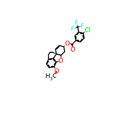 COc1ccc2c3c1OC1C[C@@H](OC(=O)c4ccc(Cl)c(C(F)(F)F)c4)C=C[C@@]31CCC2